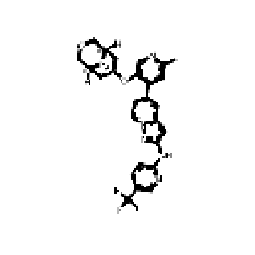 Cc1cc(-c2ccn3nc(Nc4ccc(C(F)(F)F)cn4)cc3c2)c(OC2C[C@H]3COC[C@@H](C2)N3C)cn1